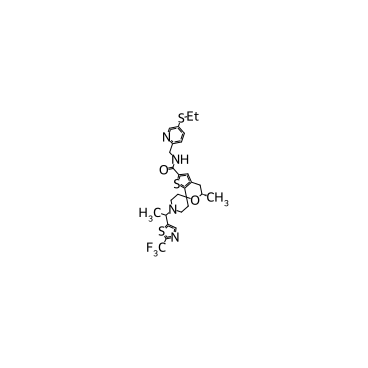 CCSc1ccc(CNC(=O)c2cc3c(s2)C2(CCN(C(C)c4cnc(C(F)(F)F)s4)CC2)O[C@H](C)C3)nc1